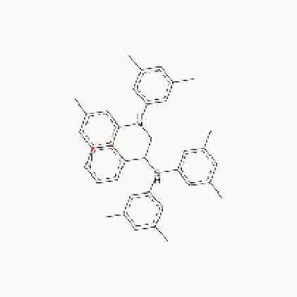 Cc1cc(C)cc([SiH](CC(c2ccccc2)[SiH](c2cc(C)cc(C)c2)c2cc(C)cc(C)c2)c2cc(C)cc(C)c2)c1